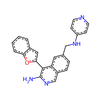 Nc1ncc2ccc(CNc3ccncc3)cc2c1-c1cc2ccccc2o1